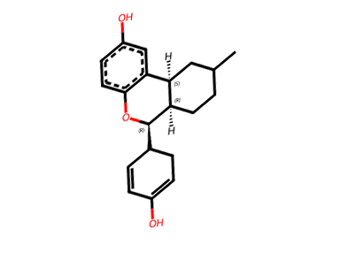 CC1CC[C@@H]2[C@H](C1)c1cc(O)ccc1O[C@@H]2C1C=CC(O)=CC1